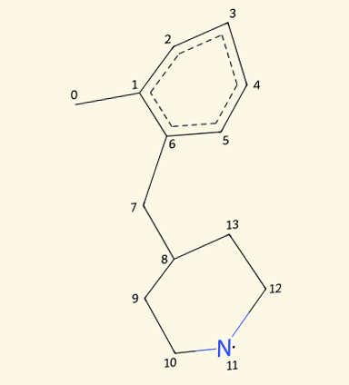 Cc1ccccc1CC1CC[N]CC1